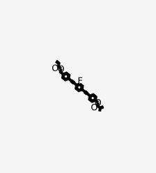 C=CC(=O)OCc1ccc(C#Cc2ccc(C#Cc3ccc(OC(=O)C(=C)C)cc3)cc2F)cc1